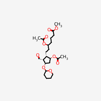 COC(=O)CCCC(CC[C@H]1[C@@H](C=O)[C@@H](OC2CCCCO2)C[C@H]1OC(C)=O)OC(C)=O